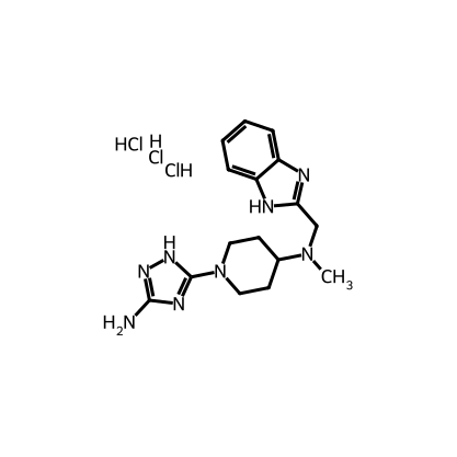 CN(Cc1nc2ccccc2[nH]1)C1CCN(c2nc(N)n[nH]2)CC1.Cl.Cl.Cl